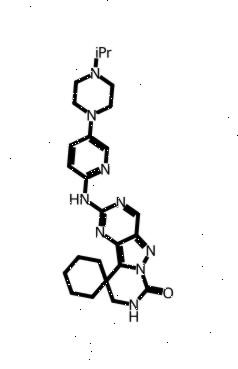 CC(C)N1CCN(c2ccc(Nc3ncc4nn5c(c4n3)C3(CCCCC3)CNC5=O)nc2)CC1